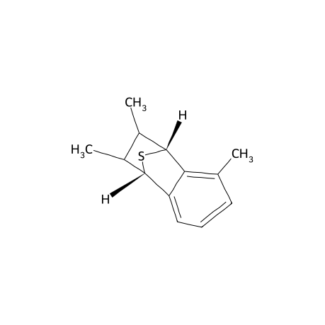 Cc1cccc2c1[C@@H]1S[C@H]2C(C)C1C